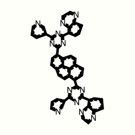 c1cncc(-c2nc(-c3ccc4ccc5c(-c6nc(-c7cccnc7)nc(-c7cccc8nccnc78)n6)ccc6ccc3c4c65)nc(-c3cccc4nccnc34)n2)c1